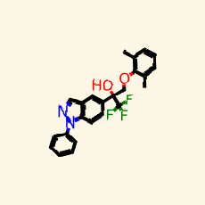 Cc1cccc(C)c1OCC(O)(c1ccc2c(cnn2-c2ccccc2)c1)C(F)(F)F